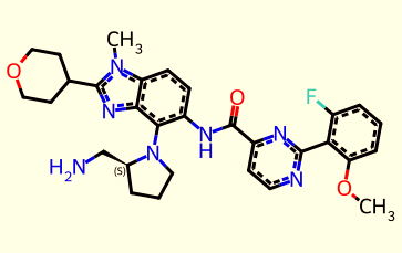 COc1cccc(F)c1-c1nccc(C(=O)Nc2ccc3c(nc(C4CCOCC4)n3C)c2N2CCC[C@H]2CN)n1